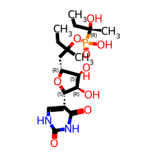 CCC(C)(C[C@H]1O[C@@H](c2c[nH]c(=O)[nH]c2=O)[C@H](O)[C@@H]1O)OP(=O)(O)[C@@](C)(O)CC